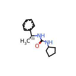 C[C@H](NC(=O)NC1CCCC1)c1ccccc1